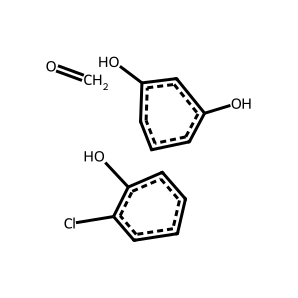 C=O.Oc1cccc(O)c1.Oc1ccccc1Cl